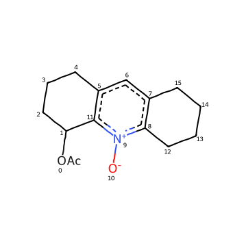 CC(=O)OC1CCCc2cc3c([n+]([O-])c21)CCCC3